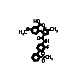 COc1ccc(-n2nc(C)cc2C(=O)Nc2ccc(-c3ccccc3S(C)(=O)=O)cc2F)c(C(=O)O)c1